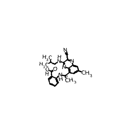 Cc1cc([C@@H](C)Nc2ccccc2C(=O)O)c2nc(NCC(C)C)c(C#N)nc2c1